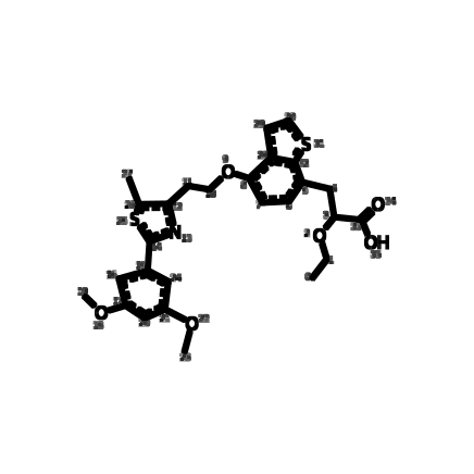 CCOC(Cc1ccc(OCCc2nc(-c3cc(OC)cc(OC)c3)sc2C)c2ccsc12)C(=O)O